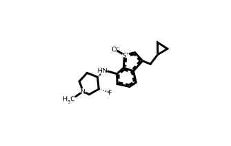 CN1CC[C@H](Nc2cccc3c(CC4CC4)c[s+]([O-])c23)[C@H](F)C1